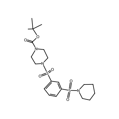 CC(C)(C)OC(=O)N1CCN(S(=O)(=O)c2cccc(S(=O)(=O)N3CCCCC3)c2)CC1